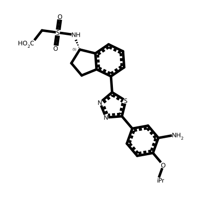 CC(C)Oc1ccc(-c2nnc(-c3cccc4c3CC[C@@H]4NS(=O)(=O)CC(=O)O)s2)cc1N